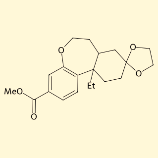 CCC12CCC3(CC1CCOc1cc(C(=O)OC)ccc12)OCCO3